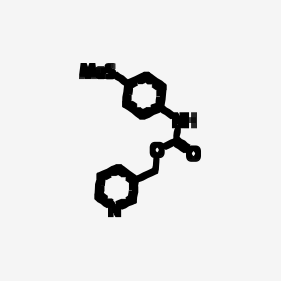 CSc1ccc(NC(=O)OCc2cccnc2)cc1